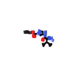 CC(C)(C)OC(=O)n1cc(NC(=O)[C@@H](N)C(C2CC2)C2CC2)cn1